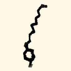 O=CCCCCCCCCOc1ccc(Cl)cc1